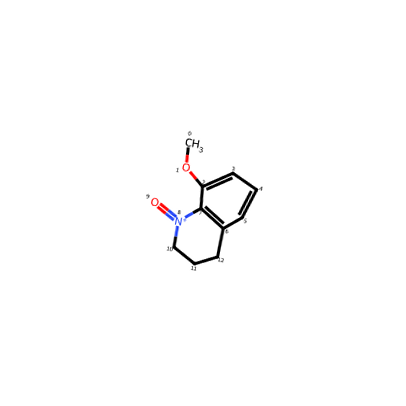 COc1cccc2c1[N+](=O)CCC2